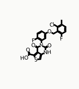 Cc1ccc(F)c(COc2ccc(F)c(-n3c(=O)[nH]c4csc(C(=O)O)c4c3=O)c2)c1Cl